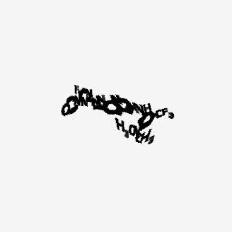 CN(C)c1cc(Nc2cnc3c(ccc4cn(-c5ncc(F)c(N6CCOCC6)n5)nc43)c2)cc(C(F)(F)F)c1